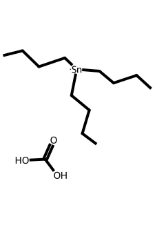 CCC[CH2][Sn]([CH2]CCC)[CH2]CCC.O=C(O)O